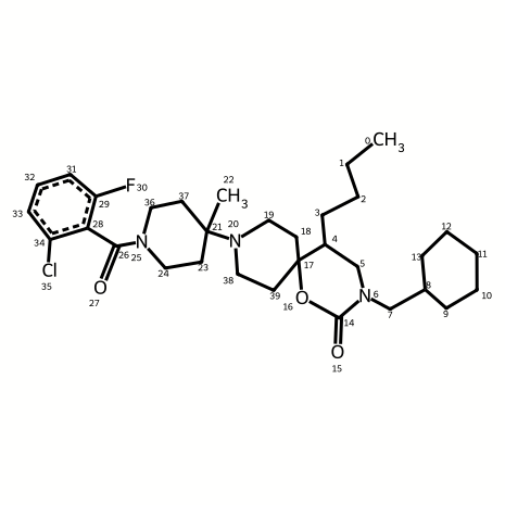 CCCCC1CN(CC2CCCCC2)C(=O)OC12CCN(C1(C)CCN(C(=O)c3c(F)cccc3Cl)CC1)CC2